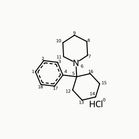 Cl.c1ccc(C2(N3CCCCC3)CCCCC2)cc1